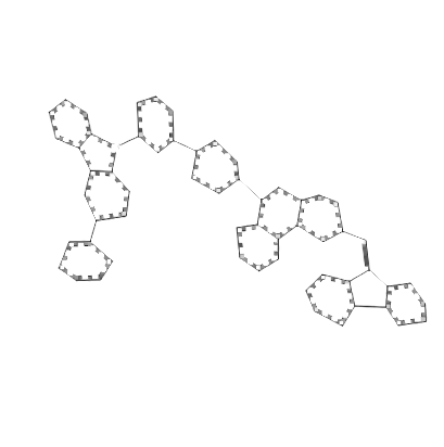 C(=C1c2ccccc2-c2ccccc21)c1ccc2cc(-c3ccc(-c4cccc(-n5c6ccccc6c6cc(-c7ccccc7)ccc65)c4)cc3)c3ccccc3c2c1